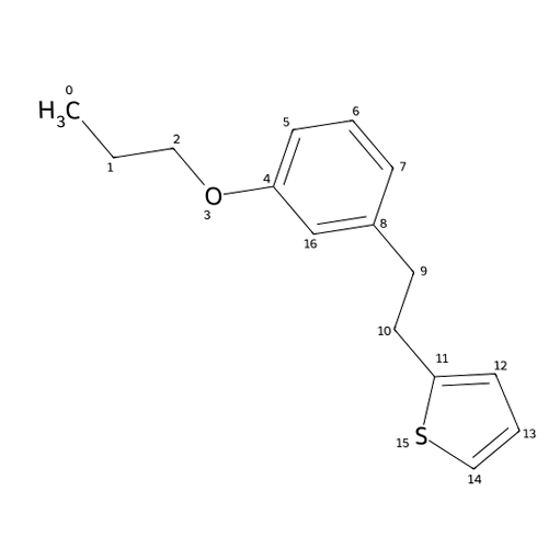 CCCOc1cccc(CCc2cccs2)c1